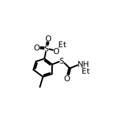 CCNC(=O)Sc1cc(C)ccc1S(=O)(=O)OCC